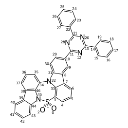 O=S1(=O)c2cccc3c4cc(-c5nc(-c6ccccc6)nc(-c6ccccc6)n5)ccc4n(c23)-c2cccc3c4ccccc4n1c23